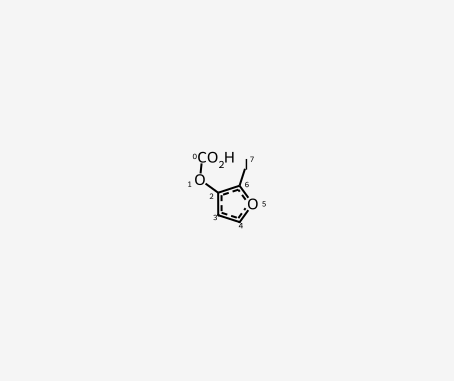 O=C(O)Oc1ccoc1I